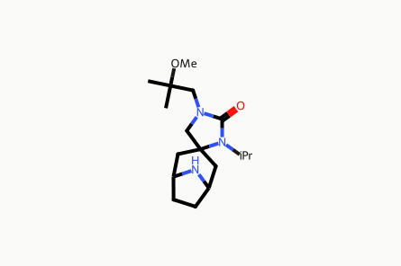 COC(C)(C)CN1CC2(CC3CCC(C2)N3)N(C(C)C)C1=O